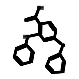 O=C(O)c1ccc(Oc2ccccc2)cc1Nc1ccccc1